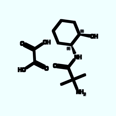 CC(C)(N)C(=O)N[C@@H]1CCCC[C@H]1O.O=C(O)C(=O)O